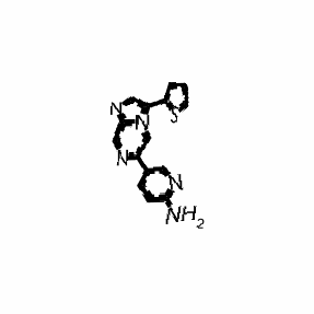 Nc1ccc(-c2cn3c(-c4cccs4)cnc3cn2)cn1